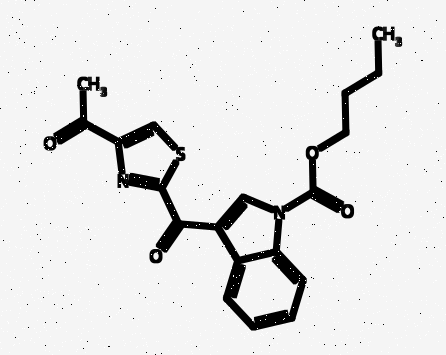 CCCCOC(=O)n1cc(C(=O)c2nc(C(C)=O)cs2)c2ccccc21